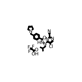 CC(C)CN(NC(=O)c1ccc(CN2CC=CC2)cc1)c1nc(C#N)ncc1Cl.O=C(O)C(F)(F)F